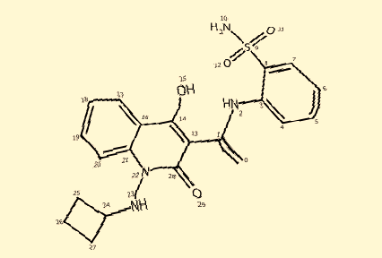 C=C(Nc1ccccc1S(N)(=O)=O)c1c(O)c2ccccc2n(NC2CCC2)c1=O